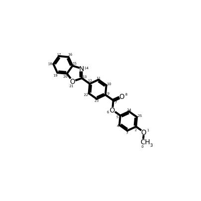 COc1ccc(OC(=O)c2ccc(-c3nc4ccccc4o3)cc2)cc1